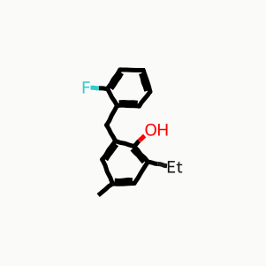 CCc1cc(C)cc(Cc2ccccc2F)c1O